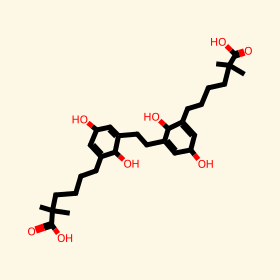 CC(C)(CCCCC1=CC(O)C=C(CCC2=CC(O)C=C(CCCCC(C)(C)C(=O)O)C2O)C1O)C(=O)O